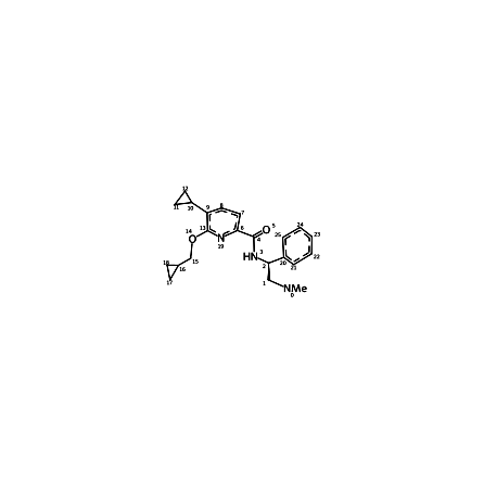 CNC[C@@H](NC(=O)c1ccc(C2CC2)c(OCC2CC2)n1)c1ccccc1